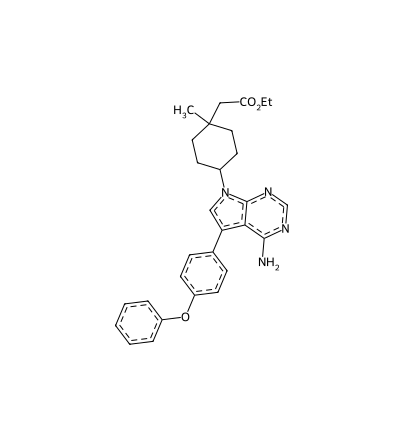 CCOC(=O)CC1(C)CCC(n2cc(-c3ccc(Oc4ccccc4)cc3)c3c(N)ncnc32)CC1